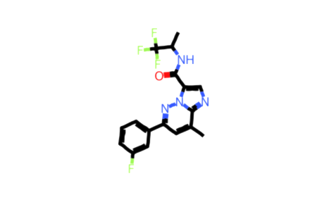 Cc1cc(-c2cccc(F)c2)nn2c(C(=O)NC(C)C(F)(F)F)cnc12